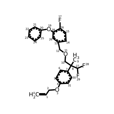 C=CCOc1ccc(C(C)(COCc2ccc(F)c(Oc3ccccc3)c2)C(F)F)cc1